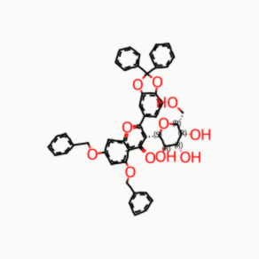 O=c1c([C@@H]2O[C@H](CO)[C@H](O)[C@H](O)[C@H]2O)c(-c2ccc3c(c2)OC(c2ccccc2)(c2ccccc2)O3)oc2cc(OCc3ccccc3)cc(OCc3ccccc3)c12